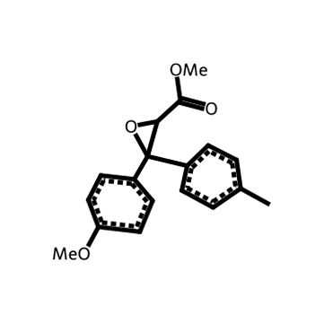 COC(=O)C1OC1(c1ccc(C)cc1)c1ccc(OC)cc1